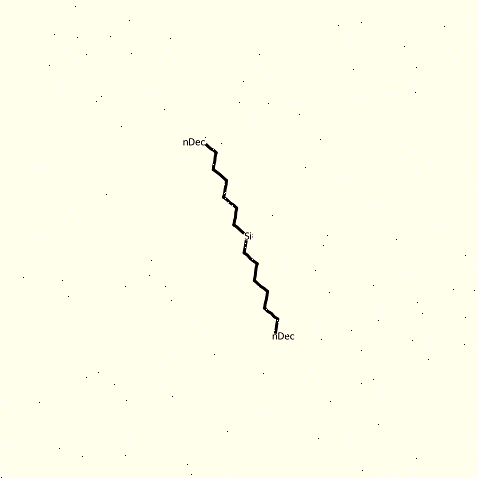 CCCCCCCCCCCCCCCC[Si]CCCCCCCCCCCCCCCC